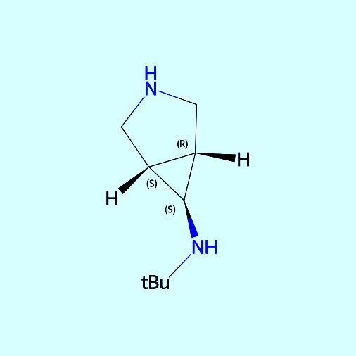 CC(C)(C)N[C@H]1[C@@H]2CNC[C@@H]21